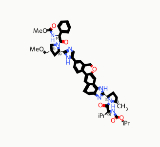 COC[C@H]1C[C@@H](c2ncc(-c3ccc4c(c3)COc3cc5c(ccc6nc([C@@H]7CC[C@H](C)N7C(=O)[C@@H](NC(=O)OC(C)C)C(C)C)[nH]c65)cc3-4)[nH]2)N(C(=O)[C@H](NC(=O)OC)c2ccccc2)C1